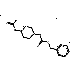 O=C(I)NC1CCC(OC(=O)OCc2ccccc2)CC1